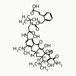 CN(C)c1cc(NC(=O)CN(C(=O)OCc2ccccc2C=CC(=O)O)C(C)(C)C)c(O)c2c1C[C@H]1C[C@H]3[C@H](N(C)C)C(O)=C(C(N)=O)C(=O)[C@@]3(O)C(O)=C1C2=O